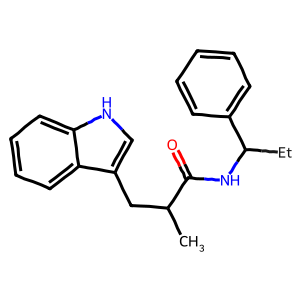 CCC(NC(=O)C(C)Cc1c[nH]c2ccccc12)c1ccccc1